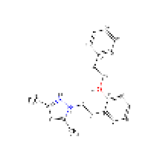 FC(F)(F)c1cc(C(F)(F)F)n(CCc2ccccc2OCCc2ccccc2)n1